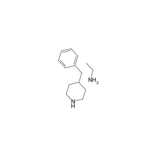 CCN.c1ccc(CC2CCNCC2)cc1